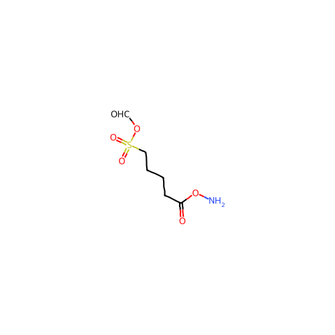 NOC(=O)CCCCS(=O)(=O)OC=O